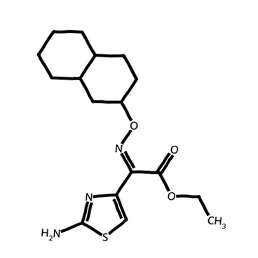 CCOC(=O)/C(=N\OC1CCC2CCCCC2C1)c1csc(N)n1